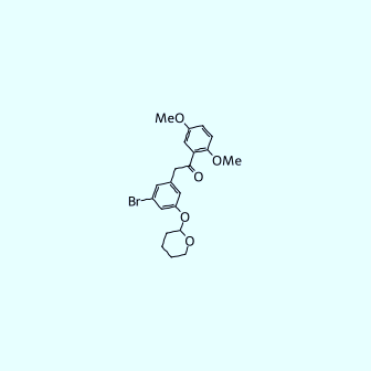 COc1ccc(OC)c(C(=O)Cc2cc(Br)cc(OC3CCCCO3)c2)c1